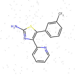 Nc1nc(-c2ccccn2)c(-c2cccc(C(F)(F)F)c2)s1